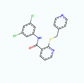 O=C(Nc1cc(Cl)cc(Cl)c1)c1cccnc1SCc1ccncc1